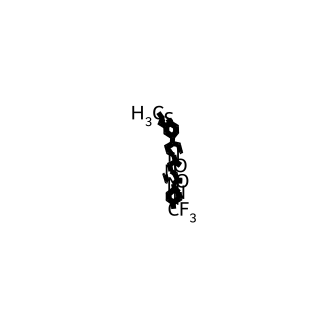 Cc1cc2cc(C3=CCN(C(=O)CN4CCN(c5ccc(C(F)(F)F)cn5)C(=O)C4)CC3)ccc2s1